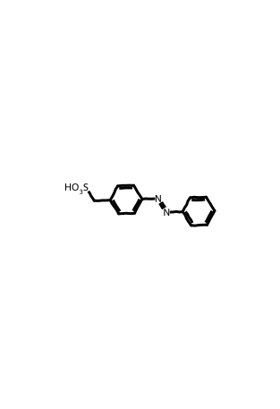 O=S(=O)(O)Cc1ccc(N=Nc2ccccc2)cc1